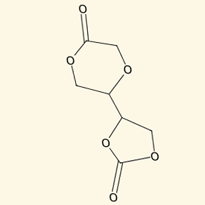 O=C1COC(C2COC(=O)O2)CO1